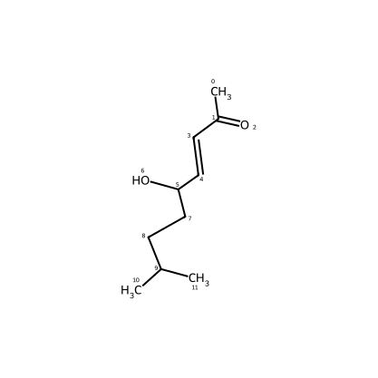 CC(=O)C=CC(O)CCC(C)C